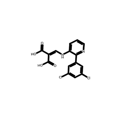 O=C(O)C(=CNc1cccnc1-c1cc(Cl)cc(Cl)c1)C(=O)O